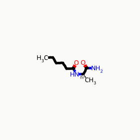 CCCCCC(=O)N[C@@H](C)C(N)=O